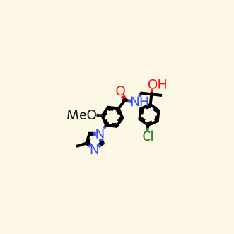 COc1cc(C(=O)NCC(C)(O)c2ccc(Cl)cc2)ccc1-n1cnc(C)c1